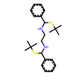 CC(C)(C)SC(NCCNC(SC(C)(C)C)c1ccccc1)c1ccccc1